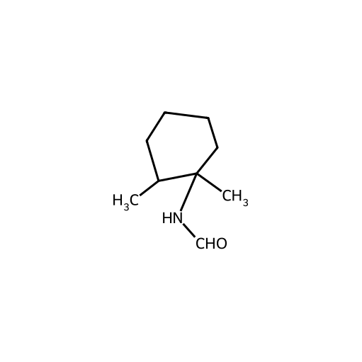 CC1CCCCC1(C)NC=O